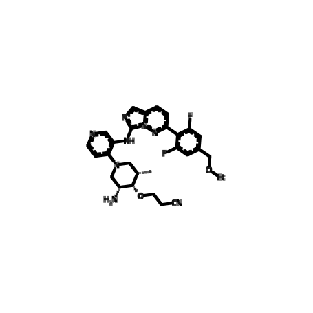 CCOCc1cc(F)c(-c2ccc3cnc(Nc4cnccc4N4C[C@@H](N)[C@@H](OCCC#N)[C@@H](C)C4)n3n2)c(F)c1